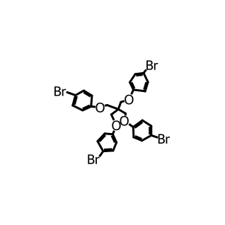 Brc1ccc(OCC(COc2ccc(Br)cc2)(COc2ccc(Br)cc2)COc2ccc(Br)cc2)cc1